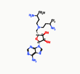 Nc1ncnc2c1ncn2[C@@H]1O[C@H](CN(CCC(N)C(=O)O)CCC(N)C(F)(F)F)[C@@H](O)[C@H]1O